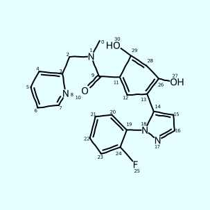 CN(Cc1ccccn1)C(=O)c1cc(-c2ccnn2-c2ccccc2F)c(O)cc1O